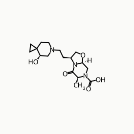 C[C@H]1C(=O)N2[C@@H](CCN3CCC4(CC4)[C@H](O)C3)CO[C@H]2CN1C(=O)O